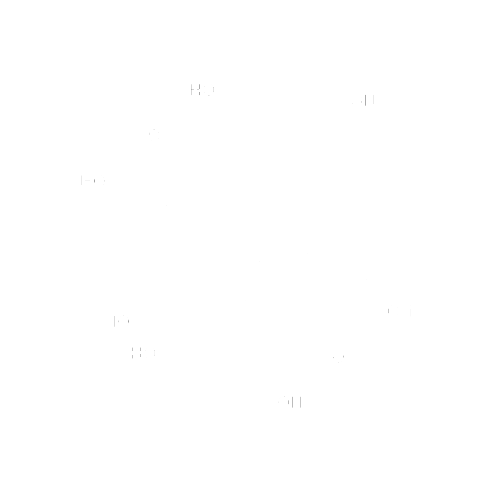 Cc1cc(O)c2c3c4c5c6c(c(O)cc(CO)c6c13)C(=O)c1c(O)cc(O)c(c1-5)C1=C(O)C=C(O)C(C2=O)C14